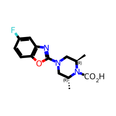 C[C@@H]1CN(c2nc3cc(F)ccc3o2)C[C@@H](C)N1C(=O)O